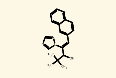 CC(C)(C)C(O)C(=Cc1ccc2ccccc2c1)n1cncn1